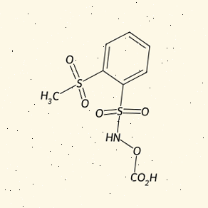 CS(=O)(=O)c1ccccc1S(=O)(=O)NOC(=O)O